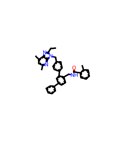 CCc1nc2c(C)cc(C)nc2n1Cc1ccc(-c2cc(-c3ccccc3)ccc2CNC(=O)c2ccccc2C)cc1